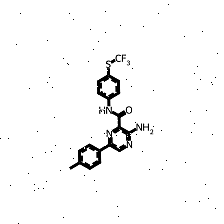 Cc1ccc(-c2cnc(N)c(C(=O)Nc3ccc(SC(F)(F)F)cc3)n2)cc1